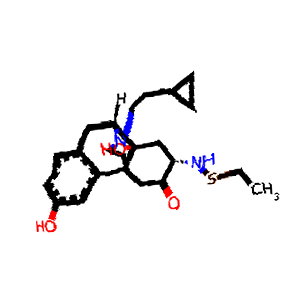 CCSN[C@H]1C[C@@]2(O)[C@H]3Cc4ccc(O)cc4[C@@]2(CCN3CC2CC2)CC1=O